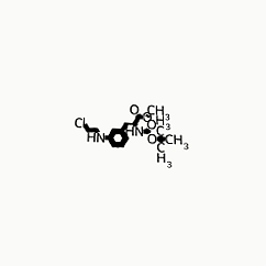 COC(=O)[C@H](Cc1cccc(NCCCl)c1)NC(=O)OC(C)(C)C